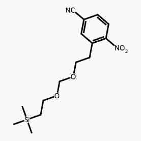 C[Si](C)(C)CCOCOCCc1cc(C#N)ccc1[N+](=O)[O-]